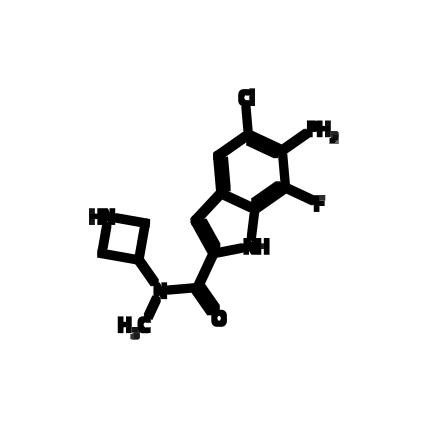 CN(C(=O)c1cc2cc(Cl)c(P)c(F)c2[nH]1)C1CNC1